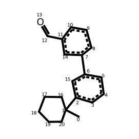 CC1(c2cccc(-c3cccc(C=O)c3)c2)CCCCC1